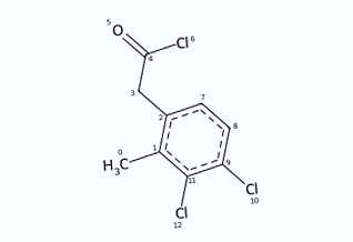 Cc1c(CC(=O)Cl)ccc(Cl)c1Cl